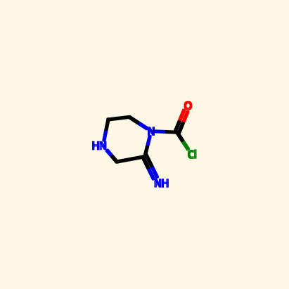 N=C1CNCCN1C(=O)Cl